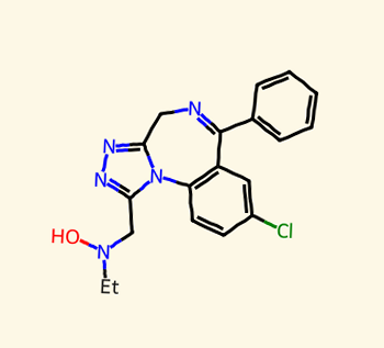 CCN(O)Cc1nnc2n1-c1ccc(Cl)cc1C(c1ccccc1)=NC2